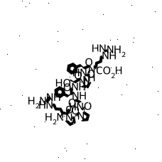 N=C(N)NCCCC(NC(=O)[C@H](Cc1ccccc1)NC(=O)N1CCCN1C(=O)[C@H](CO)NC(=O)[C@H](Cc1ccccc1)NC(=O)CNC(=O)[C@@H]1CCCN1C(=O)[C@@H]1CCCN1C(=O)[C@@H](N)CCCNC(=N)N)C(=O)O